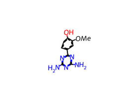 COc1cc(-c2nc(N)nc(N)n2)ccc1O